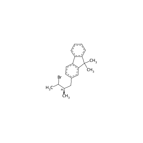 CC(Br)[C@H](C)Cc1ccc2c(c1)C(C)(C)c1ccccc1-2